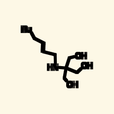 CCC(C)C/C=C/CNC(CO)(CO)CO